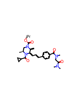 C=C1/C(=C\C=C\c2ccc(C(=O)N(C)CC(=O)N(C)C)cc2)N(C(=O)C2CC2)[C@@H](C)CN1C(=O)OC(C)C